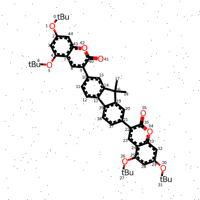 CC(C)(C)Oc1cc(OC(C)(C)C)c2cc(-c3ccc4c(c3)C(C)(C)c3cc(-c5cc6c(OC(C)(C)C)cc(OC(C)(C)C)cc6oc5=O)ccc3-4)c(=O)oc2c1